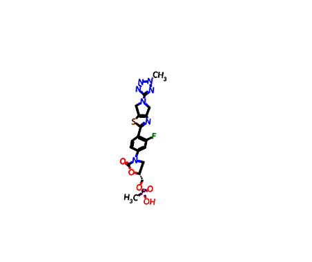 Cn1nnc(N2Cc3nc(-c4ccc(N5C[C@H](COP(C)(=O)O)OC5=O)cc4F)sc3C2)n1